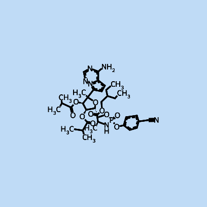 CCC(CC)COC(=O)[C@H](C)NP(=O)(OC[C@H]1O[C@@](C)(c2ccc3c(N)ncnn23)[C@H](OC(=O)C(C)C)[C@@H]1OC(=O)C(C)C)Oc1ccc(C#N)cc1